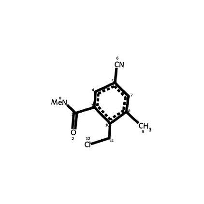 CNC(=O)c1cc(C#N)cc(C)c1CCl